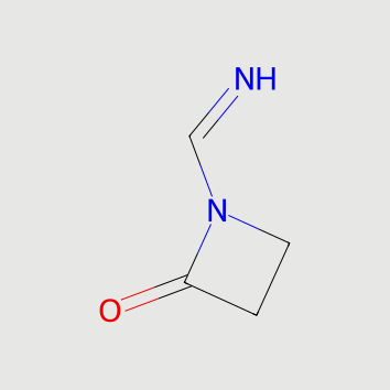 N=CN1CCC1=O